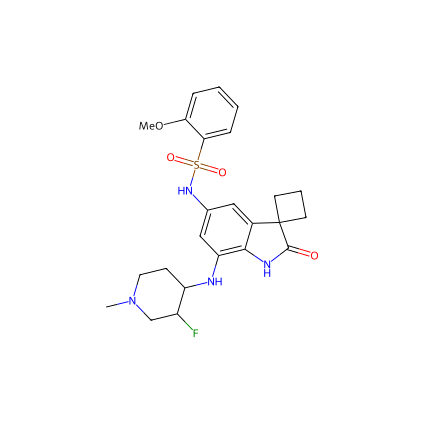 COc1ccccc1S(=O)(=O)Nc1cc(NC2CCN(C)CC2F)c2c(c1)C1(CCC1)C(=O)N2